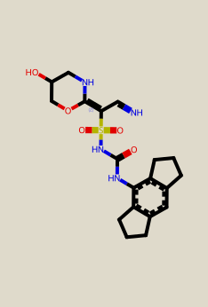 N=C/C(=C1\NCC(O)CO1)S(=O)(=O)NC(=O)Nc1c2c(cc3c1CCC3)CCC2